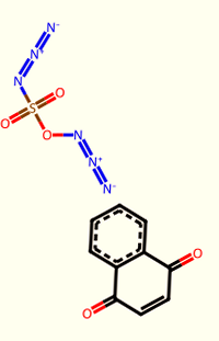 O=C1C=CC(=O)c2ccccc21.[N-]=[N+]=NOS(=O)(=O)N=[N+]=[N-]